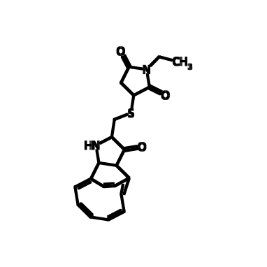 CCN1C(=O)CC(SCC2NC3/C4=C/C=C\C=C/C=C(C=C4)/C3C2=O)C1=O